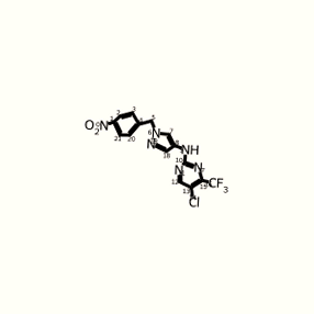 O=[N+]([O-])c1ccc(Cn2cc(Nc3ncc(Cl)c(C(F)(F)F)n3)cn2)cc1